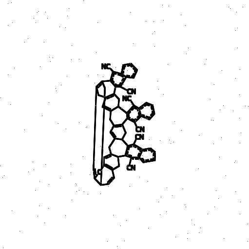 N#Cc1c2c(c(C#N)c3ccccc13)C1=C3C=C4CC5=C(CC6C(=C5)CC5=CC7=C(C=CC8CC2=C(C=C8C7)C3)CC5c2c6c(C#N)c3ccccc3c2C#N)c2c(c(C#N)c3ccccc3c2C#N)C4C1